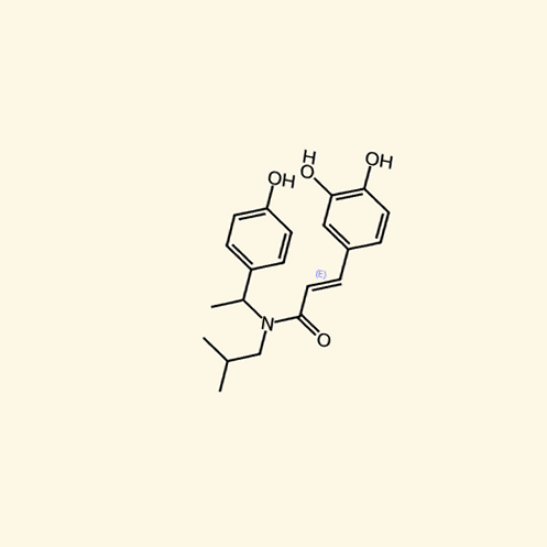 CC(C)CN(C(=O)/C=C/c1ccc(O)c(O)c1)C(C)c1ccc(O)cc1